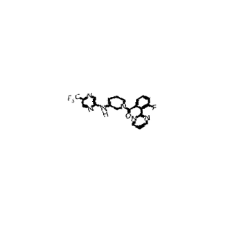 O=C(c1cccc(F)c1-c1ncccn1)N1CCCC(Nc2cnc(C(F)(F)F)cn2)C1